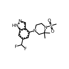 CC1(C)CN(c2cc(C(F)F)cc3[nH]ncc23)CCN1S(C)(=O)=O